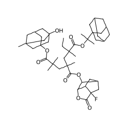 CCC(C)(CC(C)(CC(C)(C)C(=O)OC12CC3CC(C)(CC(O)(C3)C1)C2)C(=O)OC1C2CC3C1OC(=O)C3(F)C2)C(=O)OC(C)(C)C12CC3CC(CC(C3)C1)C2